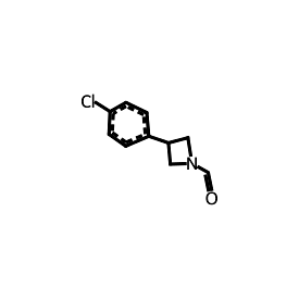 O=CN1CC(c2ccc(Cl)cc2)C1